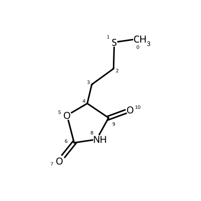 CSCCC1OC(=O)NC1=O